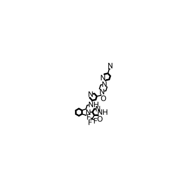 N#Cc1ccc(N2CCN(C(=O)c3cncc(NCC4c5ccccc5CN4c4cn[nH]c(=O)c4C(F)(F)F)c3)CC2)nc1